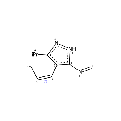 C=Nc1[nH]nc(C(C)C)c1/C=C\C